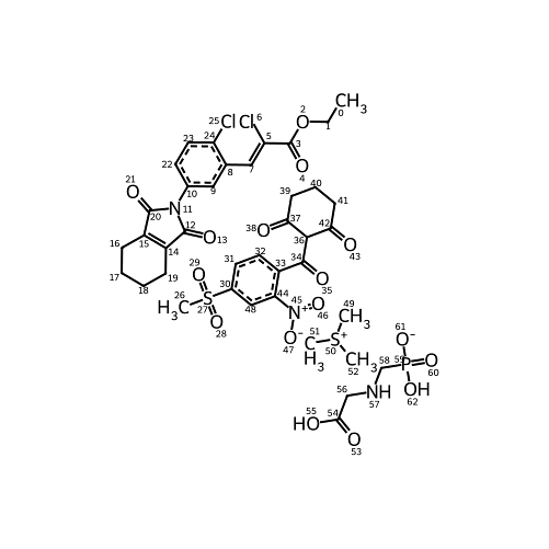 CCOC(=O)/C(Cl)=C/c1cc(N2C(=O)C3=C(CCCC3)C2=O)ccc1Cl.CS(=O)(=O)c1ccc(C(=O)C2C(=O)CCCC2=O)c([N+](=O)[O-])c1.C[S+](C)C.O=C(O)CNCP(=O)([O-])O